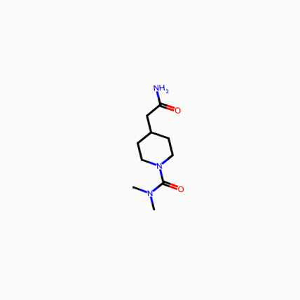 CN(C)C(=O)N1CCC(CC(N)=O)CC1